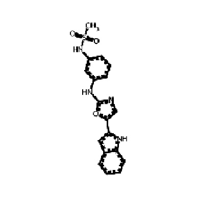 CS(=O)(=O)Nc1cccc(Nc2ncc(-c3cc4ccccc4[nH]3)o2)c1